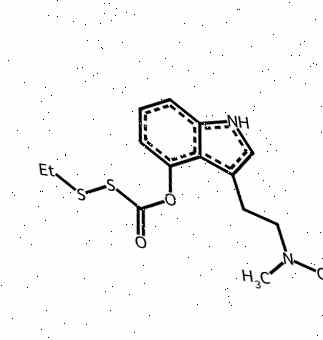 CCSSC(=O)Oc1cccc2[nH]cc(CCN(C)C)c12